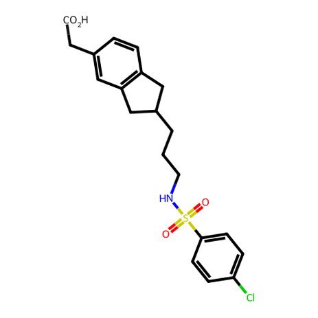 O=C(O)Cc1ccc2c(c1)CC(CCCNS(=O)(=O)c1ccc(Cl)cc1)C2